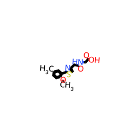 COc1ccc(C)cc1-c1nc(CC(=O)NCC(=O)O)cs1